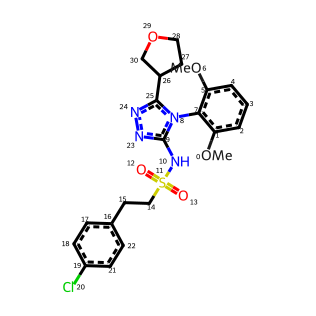 COc1cccc(OC)c1-n1c(NS(=O)(=O)CCc2ccc(Cl)cc2)nnc1C1CCOC1